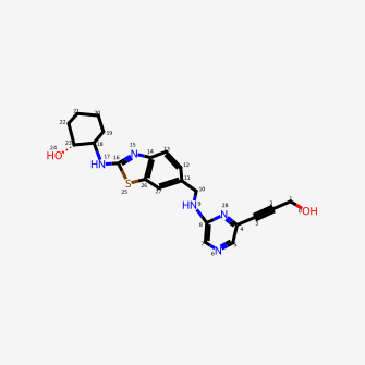 OCC#Cc1cncc(NCc2ccc3nc(NC4CCCC[C@H]4O)sc3c2)n1